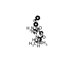 CC(C)NC(C)(C)C=C(C#N)C(=O)N1CCC(n2c(=O)n(-c3ccc(Oc4ccccc4)cc3)c3c(N)ncnc32)C1